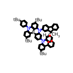 CC(C)(C)c1ccc(N2c3ccc(C(C)(C)C)cc3B3c4ccc(N(c5ccccc5)c5ccc(C(C)(C)C)cc5-c5ccccc5)cc4N(c4ccc5c(c4)C(C)(C)c4ccccc4-5)c4cc(C(C)(C)C)cc2c43)cc1